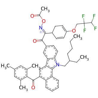 CCCCC(CC)Cn1c2ccc(C(=O)/C(=N/OC(C)=O)C3C=CC(OCC(F)(F)C(F)F)=CC3)cc2c2cc(C(=O)c3c(C)cc(C)cc3C)c3ccccc3c21